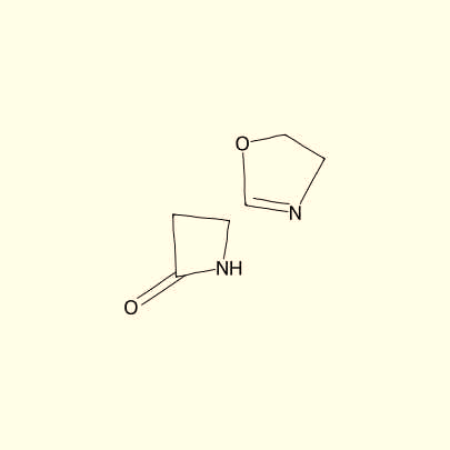 C1=NCCO1.O=C1CCN1